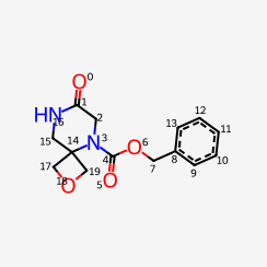 O=C1CN(C(=O)OCc2ccccc2)C2(CN1)COC2